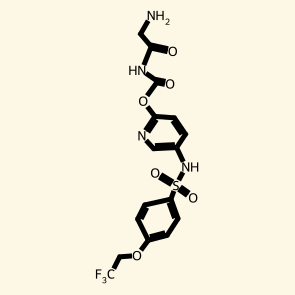 NCC(=O)NC(=O)Oc1ccc(NS(=O)(=O)c2ccc(OCC(F)(F)F)cc2)cn1